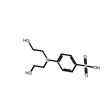 O=S(=O)(O)c1ccc(N(CCO)CCO)cc1